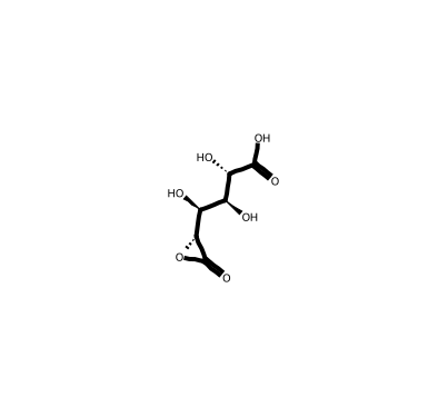 O=C(O)[C@@H](O)[C@@H](O)[C@H](O)[C@H]1OC1=O